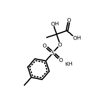 Cc1ccc(S(=O)(=O)OC(C)(O)C(=O)O)cc1.[KH]